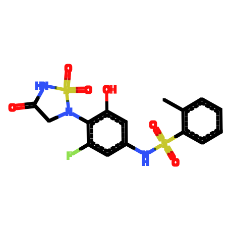 Cc1ccccc1S(=O)(=O)Nc1cc(O)c(N2CC(=O)NS2(=O)=O)c(F)c1